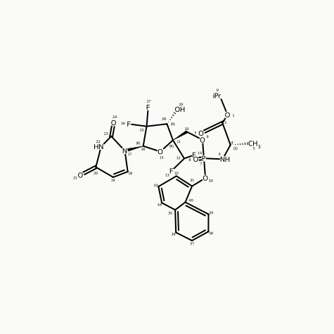 CC(C)OC(=O)[C@H](C)NP(=O)(OC[C@@]1(C(F)F)O[C@@H](n2ccc(=O)[nH]c2=O)C(F)(F)[C@@H]1O)Oc1cccc2ccccc12